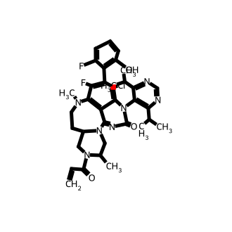 C=CC(=O)N1CC2CCN(C)c3c(F)c(-c4c(O)cccc4F)c(Cl)c4c3c(nc(=O)n4-c3c(C(C)C)ncnc3C(C)C)N2CC1C